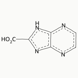 O=C(O)c1nc2nccnc2[nH]1